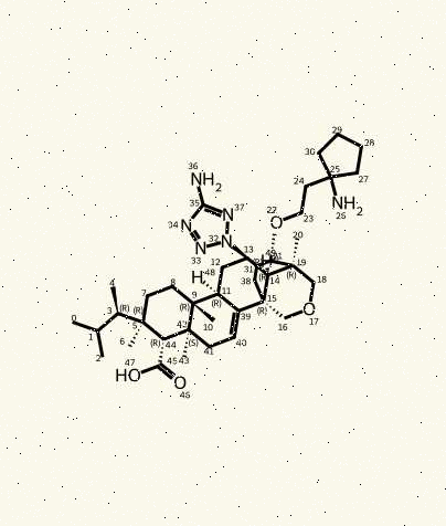 CC(C)[C@@H](C)[C@@]1(C)CC[C@]2(C)[C@H]3CC[C@@H]4[C@@]5(COC[C@]4(C)[C@@H](OCCC4(N)CCCC4)[C@H](n4nnc(N)n4)C5)C3=CC[C@@]2(C)[C@@H]1C(=O)O